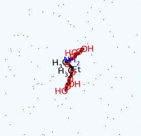 CCC(C)(CCCOC(C)(N)CCCOCC(O)COCCO)OCCCOCC(O)COCCO